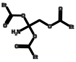 CCC(=O)OCC(N)(OC(=O)CC)OC(=O)CC